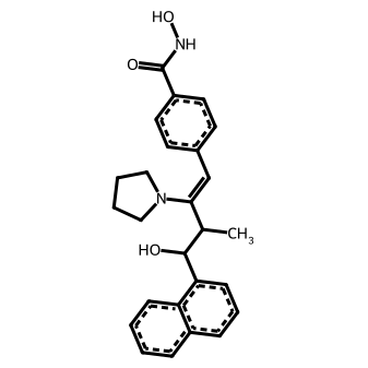 CC(C(=Cc1ccc(C(=O)NO)cc1)N1CCCC1)C(O)c1cccc2ccccc12